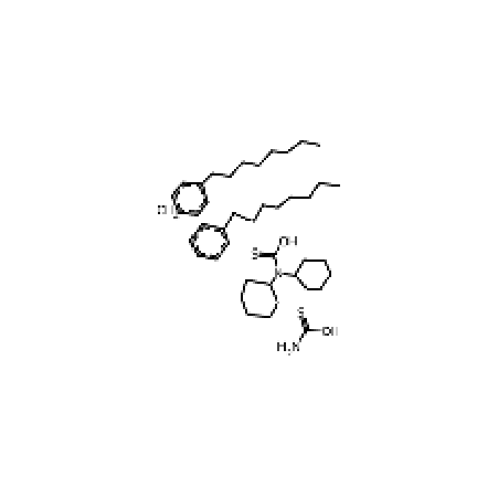 C.CCCCCCCCc1ccccc1.CCCCCCCCc1ccccc1.NC(O)=S.OC(=S)N(C1CCCCC1)C1CCCCC1